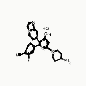 Cl.N#Cc1ccc(-c2nc(N3CCC(N)CC3)cc(O)c2-c2ccn3ccnc3c2)cc1F